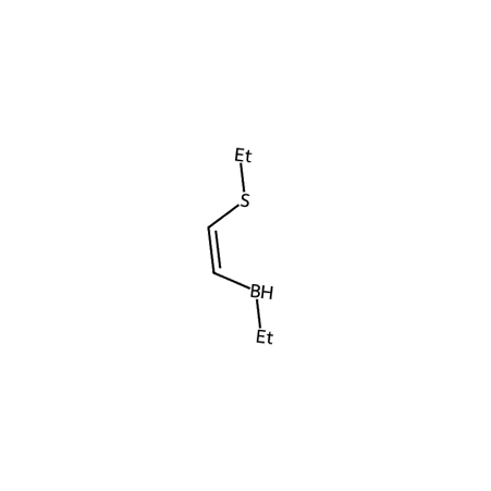 CCB/C=C\SCC